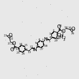 C=C(\C=C/C(/C=N/c1ccc(N=CCc2ccc(C(=O)OCC3CO3)cc2)cc1)=C\C)C(=O)OCC1CO1